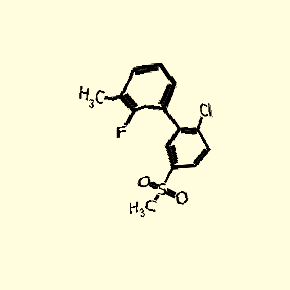 Cc1cccc(-c2cc(S(C)(=O)=O)ccc2Cl)c1F